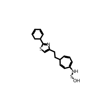 OSNC1=CC=CC(CCc2csc(C3C=CC=CC3)n2)C=C1